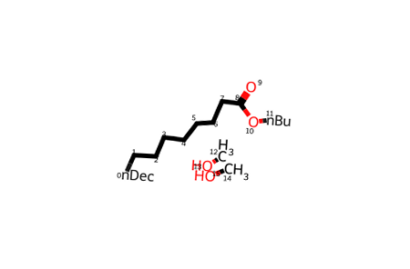 CCCCCCCCCCCCCCCCCC(=O)OCCCC.CO.CO